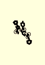 CCC(=O)c1sc(-c2ccccc2)cc1N(CC1CCN(C(=O)OCc2ccccc2)CC1)C(=O)C1CCC(C)CC1